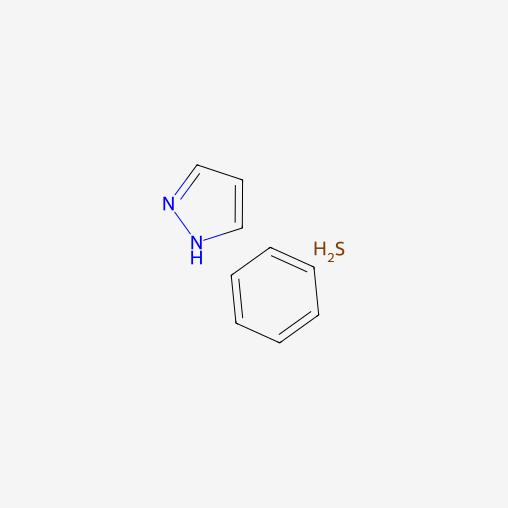 S.c1ccccc1.c1cn[nH]c1